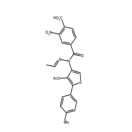 CC=NN(C(=O)c1ccc(C(=O)O)c([N+](=O)[O-])c1)c1csc(-c2ccc(C(C)(C)C)cc2)c1OC(C)=O